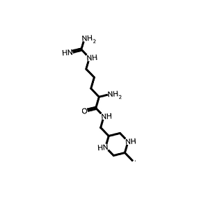 [CH2]C1CNC(CNC(=O)C(N)CCCNC(=N)N)CN1